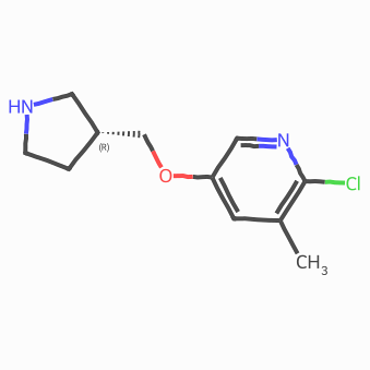 Cc1cc(OC[C@@H]2CCNC2)cnc1Cl